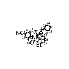 CCC(C(=O)Nc1c(C)cc(C#N)cc1C)[PH]1(CC(=O)OCc2ccccc2)CCCCC1